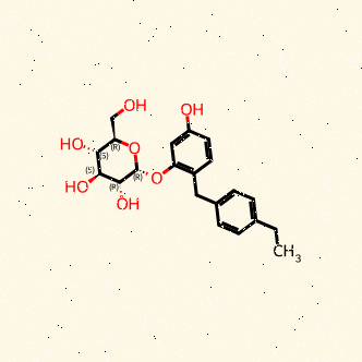 CCc1ccc(Cc2ccc(O)cc2O[C@H]2O[C@H](CO)[C@@H](O)[C@H](O)[C@H]2O)cc1